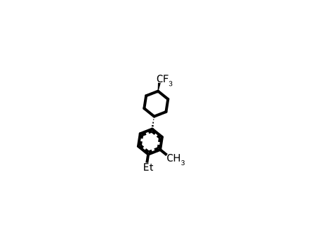 CCc1ccc([C@H]2CC[C@H](C(F)(F)F)CC2)cc1C